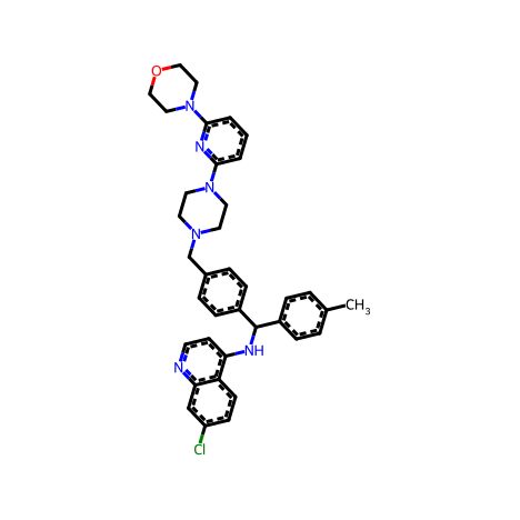 Cc1ccc(C(Nc2ccnc3cc(Cl)ccc23)c2ccc(CN3CCN(c4cccc(N5CCOCC5)n4)CC3)cc2)cc1